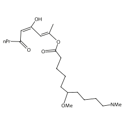 CCCC(=O)/C=C(O)\C=C(/C)OC(=O)CCCCC(CCCCNC)OC